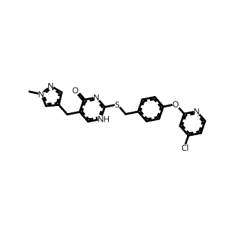 Cn1cc(Cc2c[nH]c(SCc3ccc(Oc4cc(Cl)ccn4)cc3)nc2=O)cn1